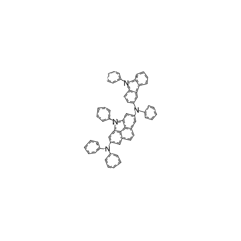 c1ccc(N(c2ccccc2)c2cc3ccc4cc(N(c5ccccc5)c5ccc6c(c5)c5ccccc5n6-c5ccccc5)cc5c4c3c(c2)n5-c2ccccc2)cc1